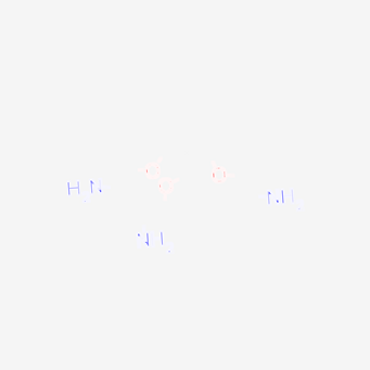 CCC(COCCN)(COCCN)COCCN